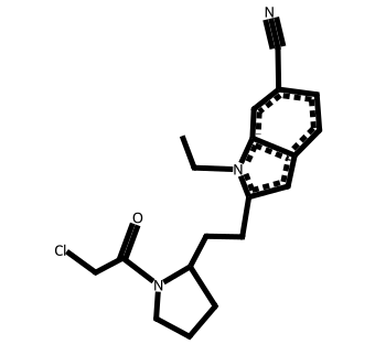 CCn1c(CCC2CCCN2C(=O)CCl)cc2ccc(C#N)cc21